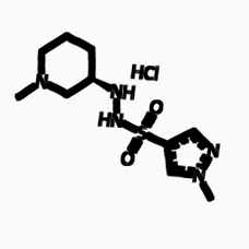 CN1CCC[C@@H](NNS(=O)(=O)c2cnn(C)c2)C1.Cl